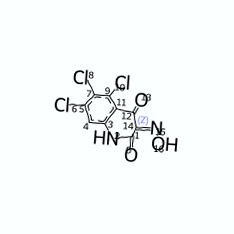 O=C1Nc2cc(Cl)c(Cl)c(Cl)c2C(=O)/C1=N/O